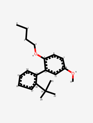 CCCCOc1ccc(OC)cc1-c1c[c]ccc1C(C)(C)C